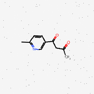 Cc1ccc(C(=O)CC(=O)C(F)(F)F)cn1